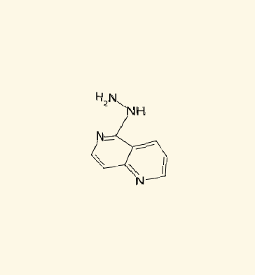 NNc1nccc2ncccc12